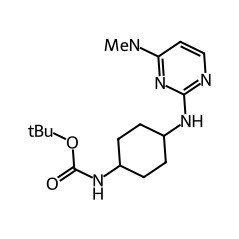 CNc1ccnc(NC2CCC(NC(=O)OC(C)(C)C)CC2)n1